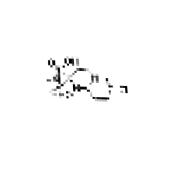 O=P(O)(O)C1(P(=O)(O)O)CCN2C=C(Cl)C=CC2=N1